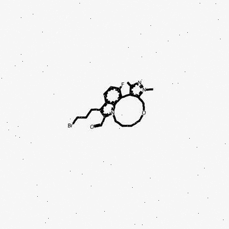 Cc1nn(C)c2c1-c1c(F)ccc3c(CCCBr)c(C=O)n(c13)CCCCOC2